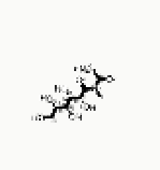 CCCCCCCCCC(=O)N(C)C(=O)[C@H](O)[C@@H](O)[C@H](O)[C@H](O)CO